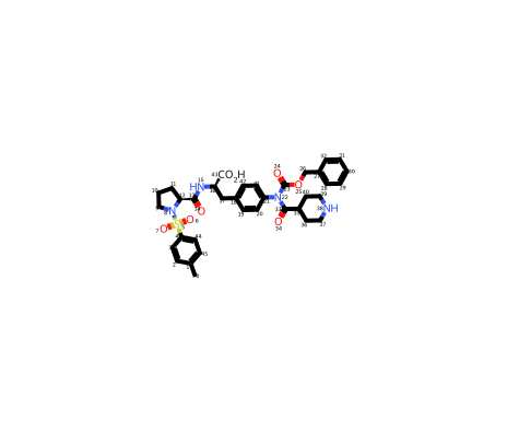 Cc1ccc(S(=O)(=O)N2CCC[C@H]2C(=O)N[C@H](Cc2ccc(N(C(=O)OCc3ccccc3)C(=O)C3CCNCC3)cc2)C(=O)O)cc1